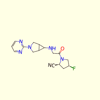 N#C[C@@H]1C[C@H](F)CN1C(=O)CNC1C2CN(c3ncccn3)CC21